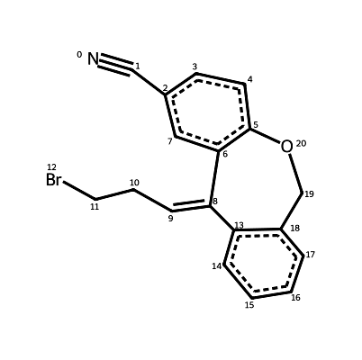 N#Cc1ccc2c(c1)C(=CCCBr)c1ccccc1CO2